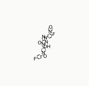 O=C(c1ccc(F)cc1)N1CCC(O)(Cn2cnc3c(cnn3-c3ccc(F)c(N4CCOCC4)c3)c2=O)CC1